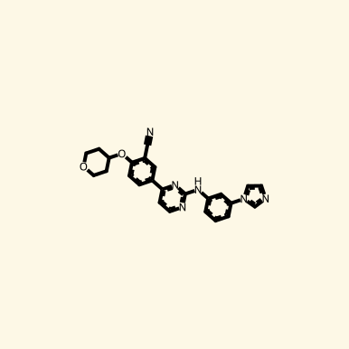 N#Cc1cc(-c2ccnc(Nc3cccc(-n4ccnc4)c3)n2)ccc1OC1CCOCC1